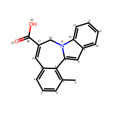 Cc1cccc2c1-c1cc3ccccc3n1CC(C(=O)O)=C2